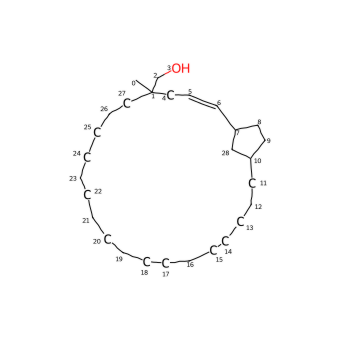 CC1(CO)CC=CC2CCC(CCCCCCCCCCCCCCCCC1)C2